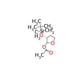 CC(=O)OC1OCC[C@H]1O[Si](C)(C)C(C)(C)C